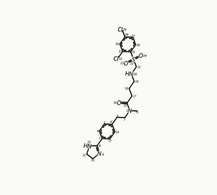 CN(CCc1ccc(C2=NCCN2)cc1)C(=O)CCCNCS(=O)(=O)c1ccc(Cl)cc1Cl